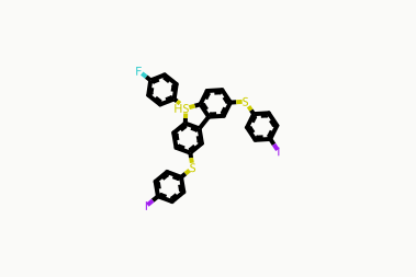 Fc1ccc([SH]2c3ccc(Sc4ccc(I)cc4)cc3-c3cc(Sc4ccc(I)cc4)ccc32)cc1